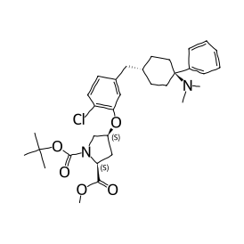 COC(=O)[C@@H]1C[C@H](Oc2cc(C[C@H]3CC[C@](c4ccccc4)(N(C)C)CC3)ccc2Cl)CN1C(=O)OC(C)(C)C